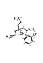 CCC[N+](C)(CCC)CCC.[O-]c1ccccn1